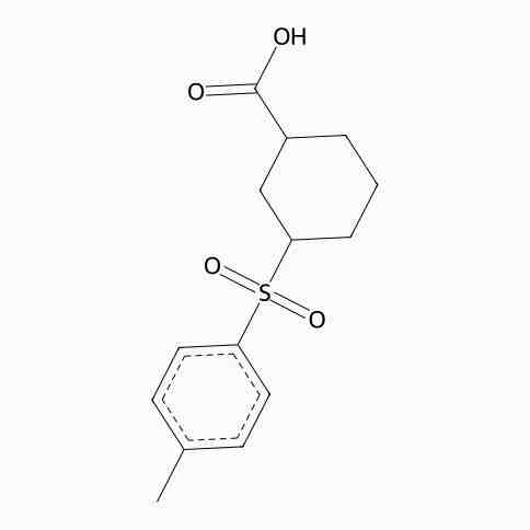 Cc1ccc(S(=O)(=O)C2CCCC(C(=O)O)C2)cc1